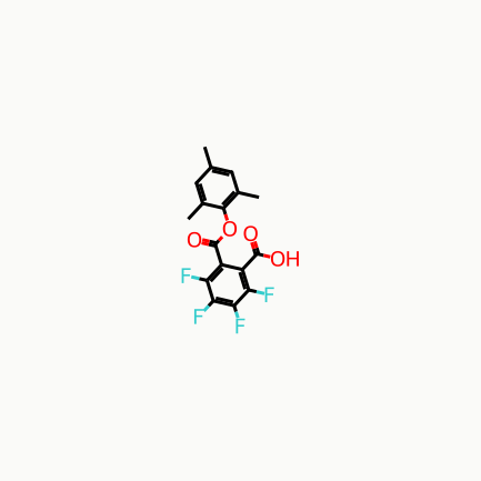 Cc1cc(C)c(OC(=O)c2c(F)c(F)c(F)c(F)c2C(=O)O)c(C)c1